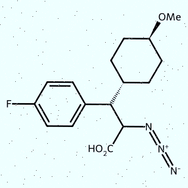 CO[C@H]1CC[C@H](C(c2ccc(F)cc2)C(N=[N+]=[N-])C(=O)O)CC1